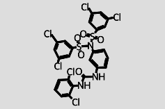 O=C(Nc1cccc(N(S(=O)(=O)c2cc(Cl)cc(Cl)c2)S(=O)(=O)c2cc(Cl)cc(Cl)c2)c1)Nc1c(Cl)cccc1Cl